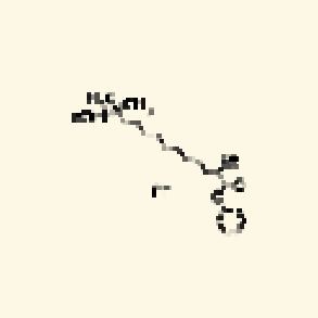 CCCCCCCC[N+](C)(C)CCCCCCCCCC(CC)C(=O)Oc1ccccc1.[Cl-]